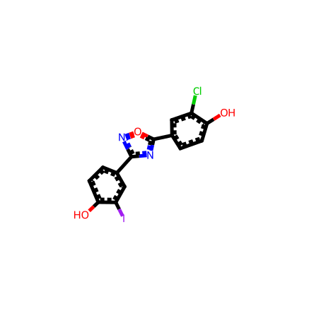 Oc1ccc(-c2nc(-c3ccc(O)c(I)c3)no2)cc1Cl